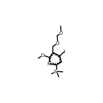 COCOCc1c(I)cc([Si](C)(C)C)nc1OC